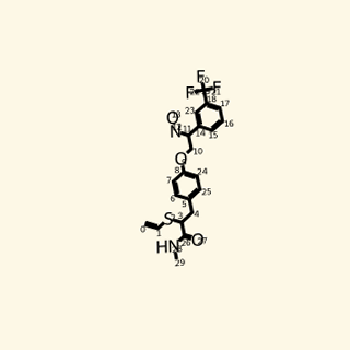 C=CSC(Cc1ccc(OCC(N=O)c2cccc(C(F)(F)F)c2)cc1)C(=O)NC